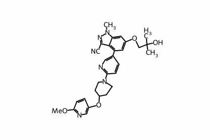 COc1ccc(OC2CCN(c3ccc(-c4cc(OCC(C)(C)O)cc5c4c(C#N)nn5C)cn3)CC2)cn1